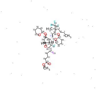 CCCCC(C)([C@@H](/C=C/[C@@H]1[C@H]2C(F)[C@H](C(I)CCCC(=O)OC)O[C@@H]2C[C@H]1OC1CCCCO1)OC1CCCCO1)C(F)(F)F